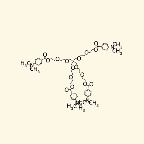 CN(C)c1ccc(C(=O)OCCOCCOCC(COCCOCCOC(=O)c2ccc(N(C)C)cc2)(COCCOCCOC(=O)c2ccc(N(C)C)cc2)COCCOCCOC(=O)c2ccc(N(C)C)cc2)cc1